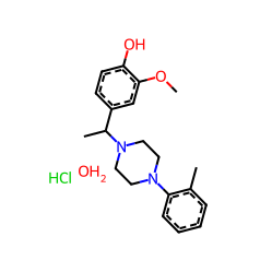 COc1cc(C(C)N2CCN(c3ccccc3C)CC2)ccc1O.Cl.O